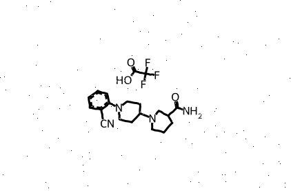 N#Cc1ccccc1N1CCC(N2CCCC(C(N)=O)C2)CC1.O=C(O)C(F)(F)F